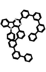 c1ccc(-c2cccc(-c3cccc(-c4cccc(-c5nc(-c6cccc(-c7cccc(-c8cccc(-c9ccccc9)c8)c7)c6)c6c(n5)c5ccccc5n6-c5ccccc5)c4)c3)c2)cc1